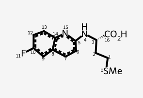 CSCC[C@H](Nc1ccc2cc(F)ccc2n1)C(=O)O